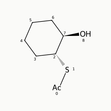 CC(=O)S[C@@H]1CCCC[C@H]1O